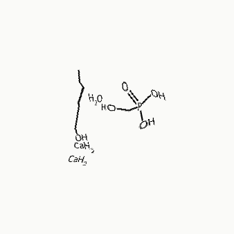 CCCO.O.O=P(O)(O)O.[CaH2].[CaH2]